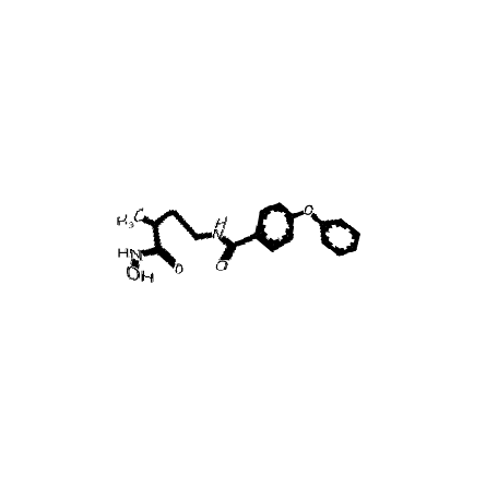 CC(CCNC(=O)c1ccc(Oc2ccccc2)cc1)C(=O)NO